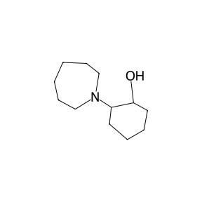 OC1CCCCC1N1CCCCCC1